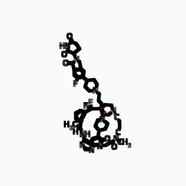 C[C@H]1Nc2ncnc3c2cc(C2CCN(CCCCCN4CCC(c5cc6c(cc5F)C(=O)N(C5CCC(=O)NC5=O)C6)CC4)CC2)c(=O)n3CC(=O)N(C)CCCCN2CCC(CC2)C(F)(F)c2cccc1c2